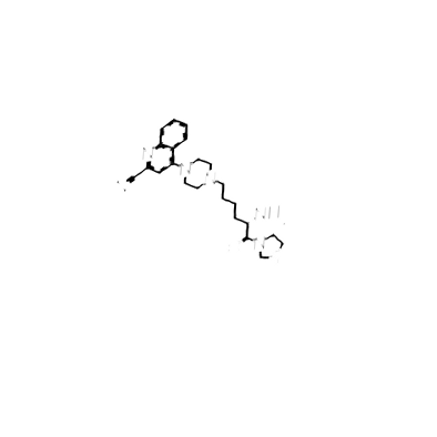 N#Cc1cc(N2CCN(CCCC[C@H](N)C(=O)N3CCSC3)CC2)c2ccccc2n1